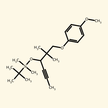 CC#CC(O[Si](C)(C)C(C)(C)C)C(C)(C)COc1ccc(OC)cc1